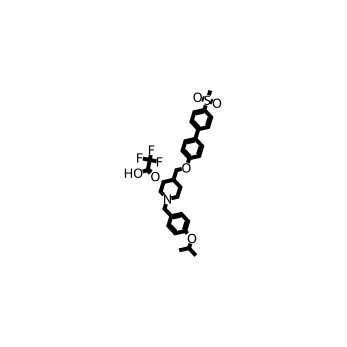 CC(C)Oc1ccc(CN2CCC(COc3ccc(-c4ccc(S(C)(=O)=O)cc4)cc3)CC2)cc1.O=C(O)C(F)(F)F